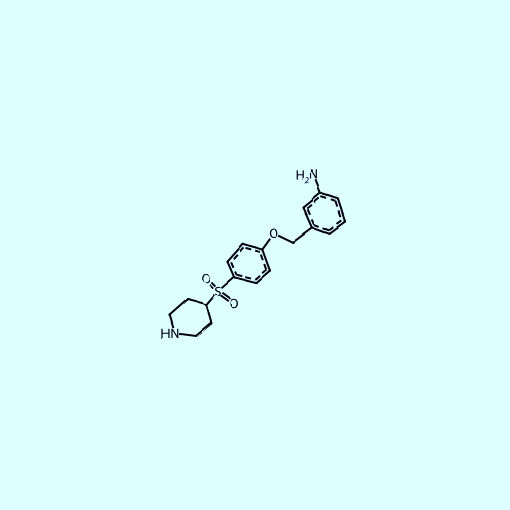 Nc1cccc(COc2ccc(S(=O)(=O)C3CCNCC3)cc2)c1